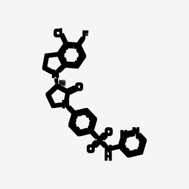 O=C1[C@@H](N2CCc3c2ccc(F)c3Cl)CCN1c1ccc(S(=O)(=O)Nc2cccnn2)cc1